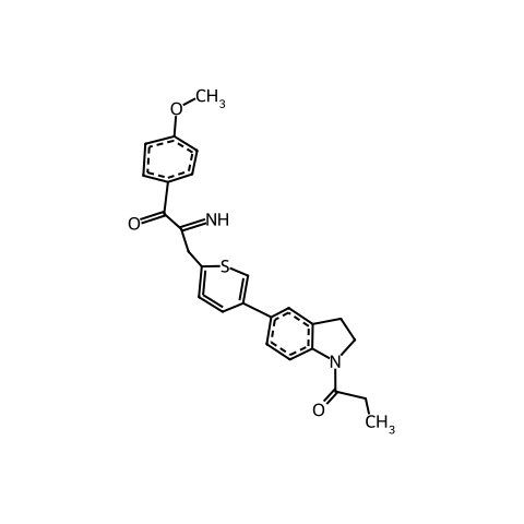 CCC(=O)N1CCc2cc(C3=CSC(CC(=N)C(=O)c4ccc(OC)cc4)=C=C3)ccc21